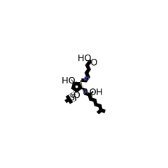 CC(C)CCCC[C@H](O)/C=C/[C@@H]1[C@@H](C/C=C\CCCC(=O)O)[C@@H](O)C[C@H]1O[Si](C)(C)C(C)(C)C